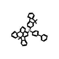 CC1(C)c2ccccc2-c2ccc(N(c3ccc(-c4ccccc4)cc3)c3cc4c(c5c(-c6ccccc6)cccc35)C(C)(C)c3ccccc3-4)cc21